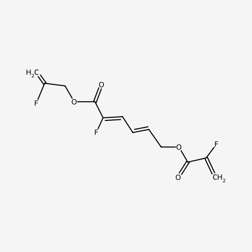 C=C(F)COC(=O)/C(F)=C/C=C/COC(=O)C(=C)F